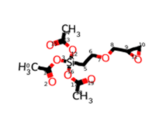 CC(=O)O[Si](CCOCC1CO1)(OC(C)=O)OC(C)=O